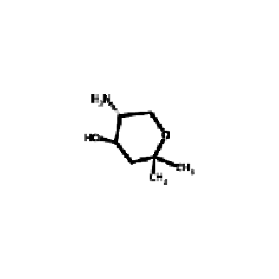 CC1(C)C[C@@H](O)[C@H](N)CO1